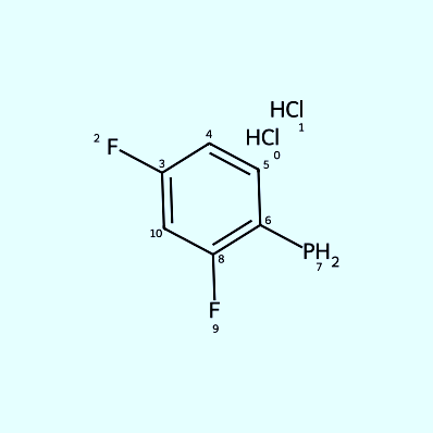 Cl.Cl.Fc1ccc(P)c(F)c1